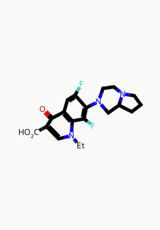 CCn1cc(C(=O)O)c(=O)c2cc(F)c(N3CCN4CCCC4C3)c(F)c21